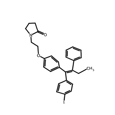 CC/C(=C(\c1ccc(I)cc1)c1ccc(OCCN2CCCC2=O)cc1)c1ccccc1